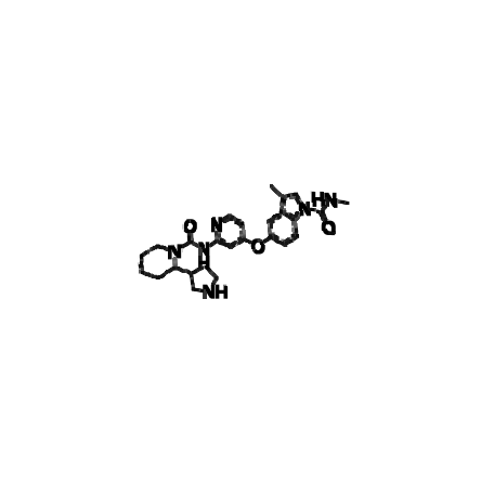 CNC(=O)n1cc(C)c2cc(Oc3ccnc(NC(=O)N4CCCCC4C4CCNC4)c3)ccc21